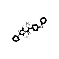 CC(C(=O)N1C(=O)O[C@H](c2ccccc2)[C@@H]1C)c1ccc(Oc2ccccc2)cc1